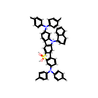 Cc1ccc(N(c2ccc(C)cc2)c2ccc3c(c2)S(=O)(=O)c2cc4c5ccc(N(c6ccc(C)cc6)c6ccc(C)cc6)cc5n(-c5cccc6ccccc56)c4cc2-3)cc1